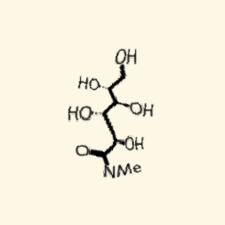 CNC(=O)[C@H](O)[C@H](O)[C@H](O)[C@H](O)CO